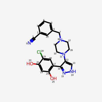 N#Cc1cccc(CN2CCN(c3c[nH]nc3-c3cc(Cl)c(O)cc3O)CC2)c1